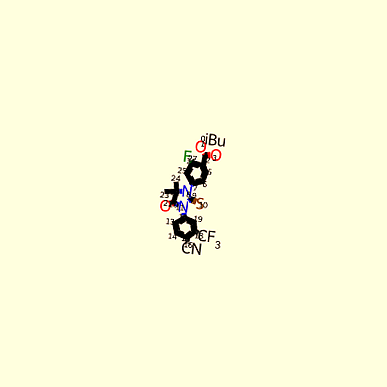 CCC(C)OC(=O)c1ccc(N2C(=S)N(c3ccc(C#N)c(C(F)(F)F)c3)C(=O)C2(C)C)cc1F